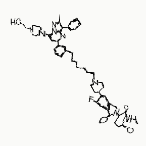 Cc1nn2c(N3CCN(CCO)CC3)cc(-c3cccc(CCCCCCCN4CCC(c5cc6c(cc5F)C(=O)N(C5CCC(=O)NC5=O)C6)CC4)c3)nc2c1-c1ccccc1